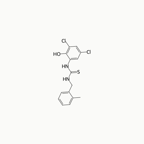 Cc1ccccc1CNC(=S)Nc1cc(Cl)cc(Cl)c1O